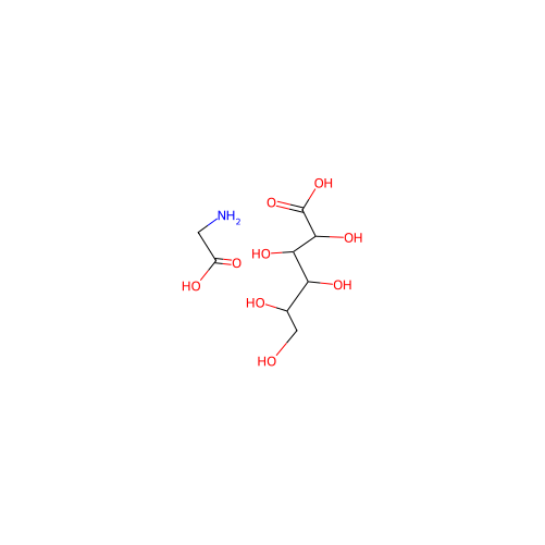 NCC(=O)O.O=C(O)C(O)C(O)C(O)C(O)CO